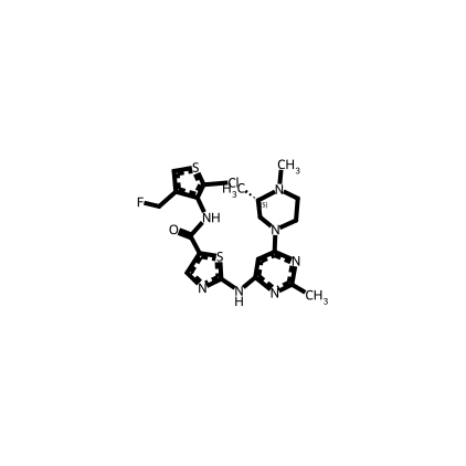 Cc1nc(Nc2ncc(C(=O)Nc3c(CF)csc3Cl)s2)cc(N2CCN(C)[C@@H](C)C2)n1